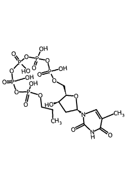 CCCOP(=O)(O)OP(=O)(O)OP(=O)(O)OP(=O)(O)OP(=O)(O)OC[C@H]1O[C@@H](n2cc(C)c(=O)[nH]c2=O)C[C@H]1O